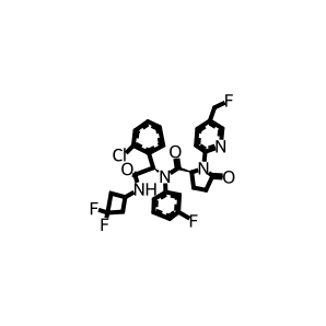 O=C(NC1CC(F)(F)C1)[C@H](c1ccccc1Cl)N(C(=O)[C@@H]1CCC(=O)N1c1ccc(CF)cn1)c1cccc(F)c1